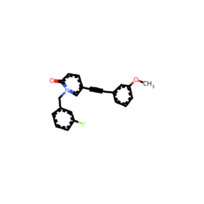 COc1cccc(C#Cc2ccc(=O)n(Cc3cccc(F)c3)c2)c1